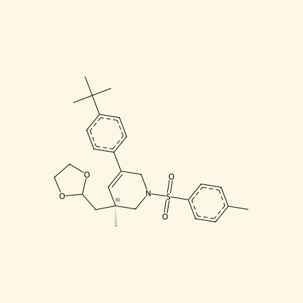 Cc1ccc(S(=O)(=O)N2CC(c3ccc(C(C)(C)C)cc3)=C[C@](C)(CC3OCCO3)C2)cc1